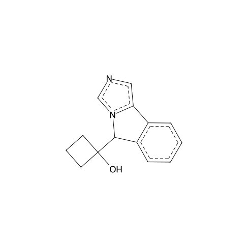 OC1(C2c3ccccc3-c3cncn32)CCC1